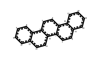 [c]1cc2c(ccc3c4ccccc4ccc32)c2ccccc12